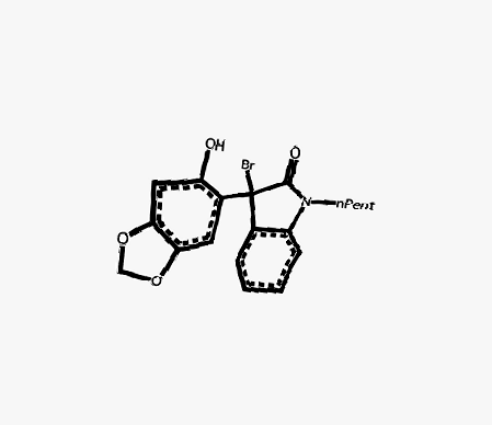 CCCCCN1C(=O)C(Br)(c2cc3c(cc2O)OCO3)c2ccccc21